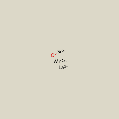 [La+3].[Mn+2].[O-2].[Sr+2]